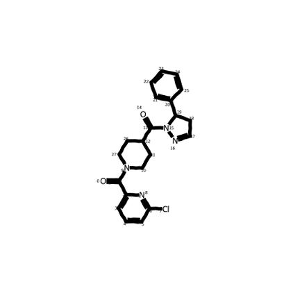 O=C(c1cccc(Cl)n1)N1CCC(C(=O)N2N=CCC2c2ccccc2)CC1